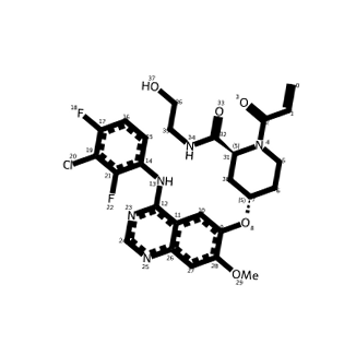 C=CC(=O)N1CC[C@H](Oc2cc3c(Nc4ccc(F)c(Cl)c4F)ncnc3cc2OC)C[C@H]1C(=O)NCCO